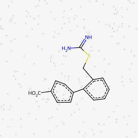 N=C(N)SCc1ccccc1-c1ccc(C(=O)O)cc1